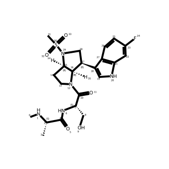 CN[C@@H](C)C(=O)N[C@@H](CO)C(=O)N1CC[C@@H]2[C@H]1[C@H](c1c[nH]c3cc(F)ccc13)CN2S(C)(=O)=O